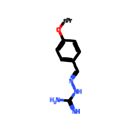 CCCOc1ccc(C=NNC(=N)N)cc1